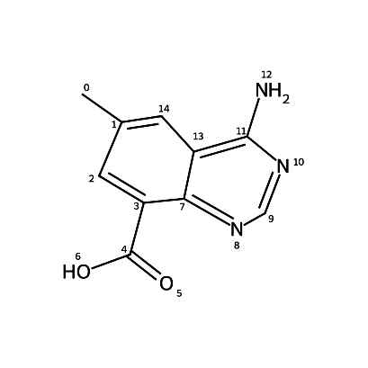 Cc1cc(C(=O)O)c2ncnc(N)c2c1